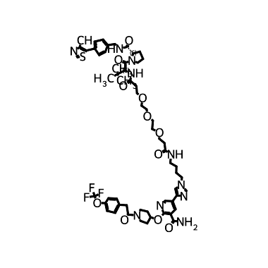 Cc1ncsc1-c1ccc(CNC(=O)[C@@H]2CCCN2C(=O)[C@@H](NC(=O)CCOCCOCCOCCC(=O)NCCCCn2cnc(-c3cnc(OC4CCN(C(=O)Cc5ccc(OC(F)(F)F)cc5)CC4)c(C(N)=O)c3)c2)C(C)(C)C)cc1